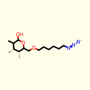 CC1C(O)OC(COCCCCCCN=[N+]=[N-])[C@H](C)[C@@H]1C